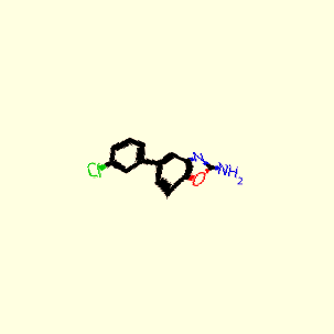 Nc1nc2cc(-c3cccc(Cl)c3)ccc2o1